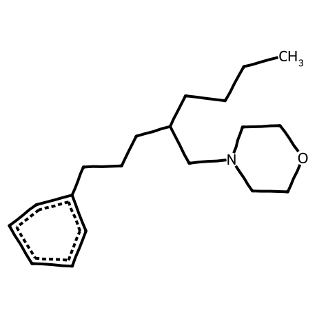 CCCCC(CCCc1ccccc1)CN1CCOCC1